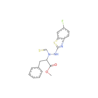 COC(=O)C(Cc1ccccc1)N(C=S)Nc1nc2ccc(F)cc2s1